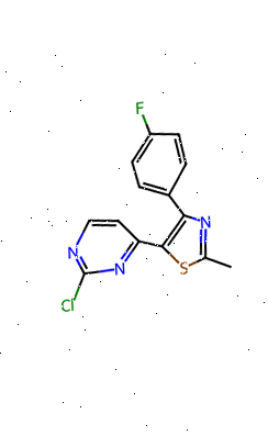 Cc1nc(-c2ccc(F)cc2)c(-c2ccnc(Cl)n2)s1